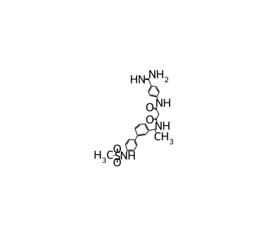 C[C@H](NC(=O)CC(=O)Nc1ccc(C(=N)N)cc1)c1cccc(-c2ccc(NS(C)(=O)=O)cc2)c1